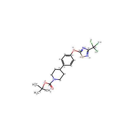 CC(C)(C)OC(=O)N1CCC(c2ccc(Oc3nc(C(F)(F)F)ns3)cc2)CC1